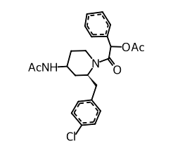 CC(=O)NC1CCN(C(=O)C(OC(C)=O)c2ccccc2)[C@@H](Cc2ccc(Cl)cc2)C1